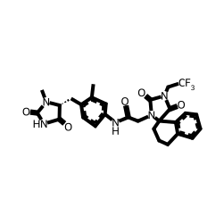 Cc1cc(NC(=O)CN2C(=O)N(CC(F)(F)F)C(=O)C23CCCc2ccccc23)ccc1C[C@@H]1C(=O)NC(=O)N1C